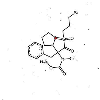 CN(C(=O)ON)C(Cc1ccccc1)(C(=O)S(=O)(=O)CCCBr)N1CCCC1